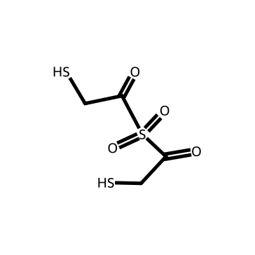 O=C(CS)S(=O)(=O)C(=O)CS